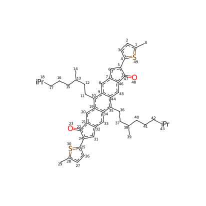 Cc1ccc(-c2cc3cc4c(CCC(C)CCCC(C)C)c5cc6c(=O)c(-c7ccc(C)s7)cc6cc5c(CCC(C)CCCC(C)C)c4cc3c2=O)s1